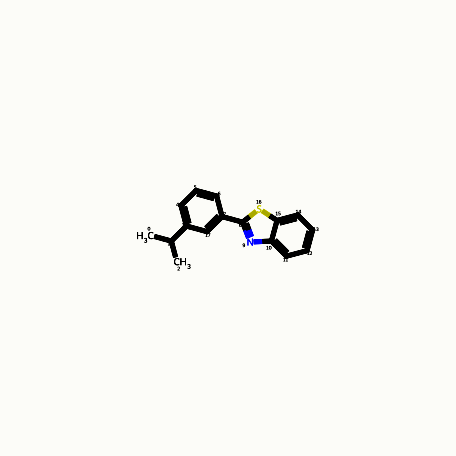 CC(C)c1cccc(-c2nc3ccccc3s2)c1